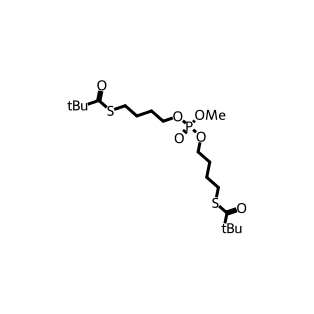 COP(=O)(OCCCCSC(=O)C(C)(C)C)OCCCCSC(=O)C(C)(C)C